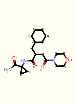 NC(=O)C1(NC(=O)C(CC(=O)N2CCOCC2)CC2CCCCC2)CC1